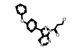 O=C(CCCl)n1nc(-c2ccc(Oc3ccccc3)cc2)c2cncnc21